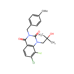 COc1ccc(Cn2c(=O)c3ccc(Cl)c(F)c3n(CC(C)(C)O)c2=O)cc1